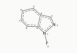 Fn1ncc2ccccc21